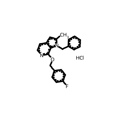 Cc1cc2ccnc(OCc3ccc(F)cc3)c2n1Cc1ccccc1.Cl